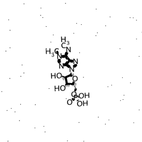 CN=c1c2ncn([C@@H]3O[C@H](COP(=O)(O)O)[C@@H](O)[C@H]3O)c2ncn1C